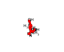 Cc1c(COc2cc(OCc3cncc(C#N)c3)c(CN(C)CCc3nn[nH]n3)cc2Cl)cccc1-c1cccc(OCCCN2CC[C@@H](O)C2)c1C